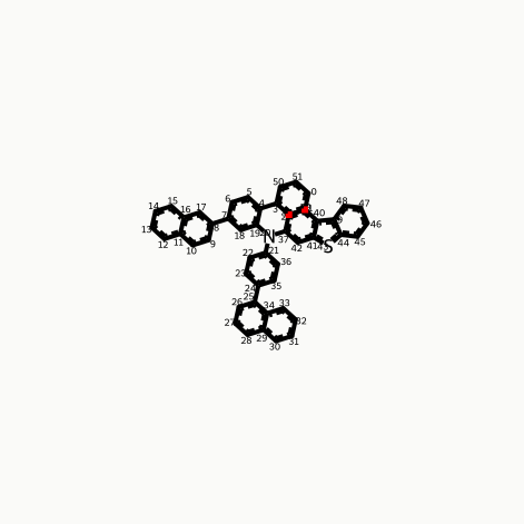 c1ccc(-c2ccc(-c3ccc4ccccc4c3)cc2N(c2ccc(-c3cccc4ccccc34)cc2)c2ccc3c(c2)sc2ccccc23)cc1